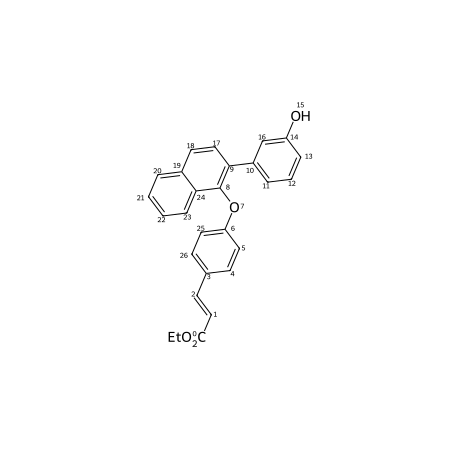 CCOC(=O)C=Cc1ccc(Oc2c(-c3cccc(O)c3)ccc3ccccc23)cc1